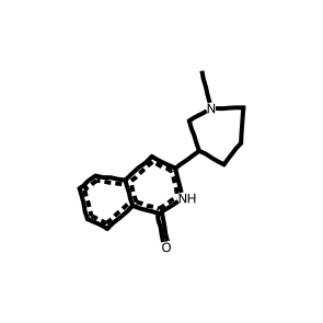 CN1CCCC(c2cc3ccccc3c(=O)[nH]2)C1